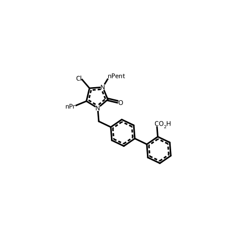 CCCCCn1c(Cl)c(CCC)n(Cc2ccc(-c3ccccc3C(=O)O)cc2)c1=O